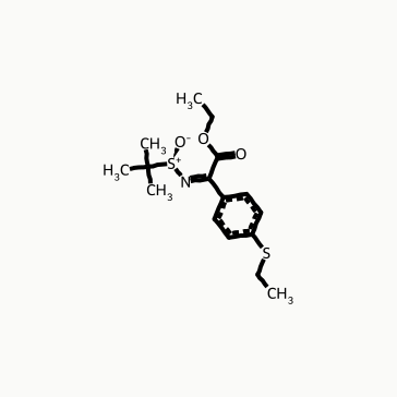 CCOC(=O)C(=N[S@+]([O-])C(C)(C)C)c1ccc(SCC)cc1